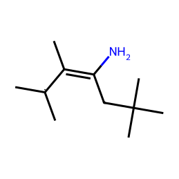 C[C](C)/C(C)=C(/N)CC(C)(C)C